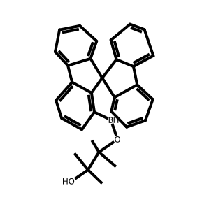 CC(C)(O)C(C)(C)OBc1cccc2c1C1(c3ccccc3-c3ccccc31)c1ccccc1-2